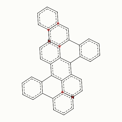 c1ccc(-c2ccc3c(-c4ccccc4-c4cccnc4)c4ccccc4c(-c4ccccc4-c4cccnc4)c3c2)cc1